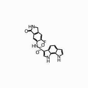 O=C1NCc2cc(F)c(NS(=O)(=O)c3c[nH]c4c3ccc3cc[nH]c34)cc21